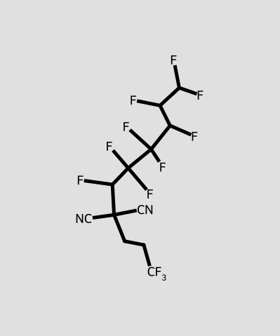 N#CC(C#N)(CCC(F)(F)F)C(F)C(F)(F)C(F)(F)C(F)C(F)C(F)F